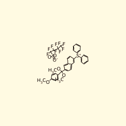 COc1ccc(C(OC)(OC)c2ccc3cc([S+](c4ccccc4)c4ccccc4)ccc3c2)cc1.O=S(=O)([O-])C(F)(F)C(F)(F)C(F)(F)C(F)(F)F